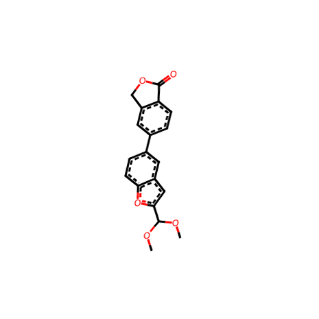 COC(OC)c1cc2cc(-c3ccc4c(c3)COC4=O)ccc2o1